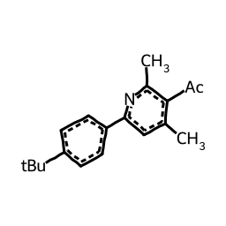 CC(=O)c1c(C)cc(-c2ccc(C(C)(C)C)cc2)nc1C